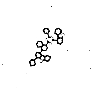 c1ccc(-c2nc(-c3ccc(-c4ccc(-c5ccccc5)c5oc6ccccc6c45)c4ccccc34)nc(-c3cccc4oc5ccccc5c34)n2)cc1